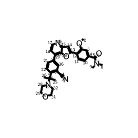 COc1cc(C(=O)N(C)C)ccc1-c1cc2nccc(-c3ccc(C(C)(C)N4CCOCC4)c(C#N)c3)c2o1